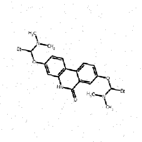 CCC(Oc1ccc2c(c1)[nH]c(=O)c1cc(OC(CC)N(C)C)ccc12)N(C)C